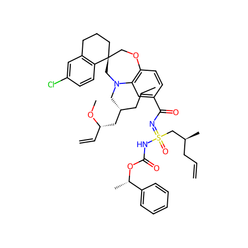 C=CC[C@H](C)CS(=O)(=NC(=O)c1ccc2c(c1)N(C[C@H](CCC)C[C@H](C=C)OC)C[C@@]1(CCCc3cc(Cl)ccc31)CO2)NC(=O)O[C@@H](C)c1ccccc1